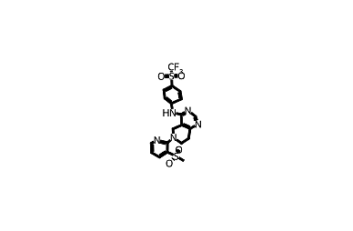 CS(=O)(=O)c1cccnc1N1CCc2ncnc(Nc3ccc(S(=O)(=O)C(F)(F)F)cc3)c2C1